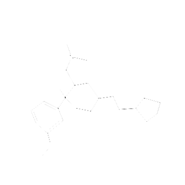 COc1cccc(C2(O)CCC(CCC3CCCC3)CC2CN(C)C)c1.Cl